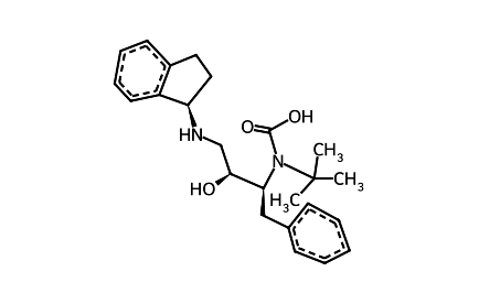 CC(C)(C)N(C(=O)O)[C@@H](Cc1ccccc1)[C@@H](O)CN[C@@H]1CCc2ccccc21